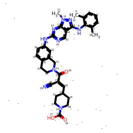 Cc1cccc(C)c1Nc1nn(C)c2nc(Nc3ccc4c(c3)CN(C(=O)/C(C#N)=C/C3CCN(C(=O)O)CC3)CC4)ncc12